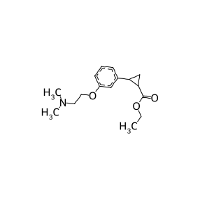 CCOC(=O)C1CC1c1cccc(OCCN(C)C)c1